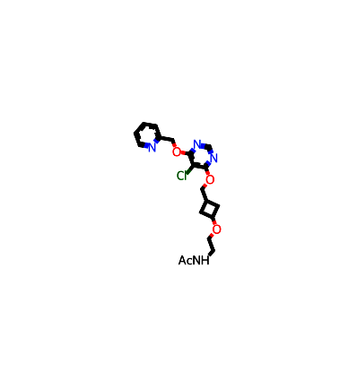 CC(=O)NCCOC1CC(COc2ncnc(OCc3ccccn3)c2Cl)C1